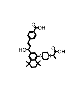 CC(C(=O)O)N1CCN(c2cc(C(O)/C=C/c3ccc(C(=O)O)cc3)cc3c2C(C)(C)CCC3(C)C)CC1